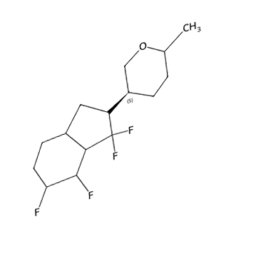 CC1CC[C@@H](C2CC3CCC(F)C(F)C3C2(F)F)CO1